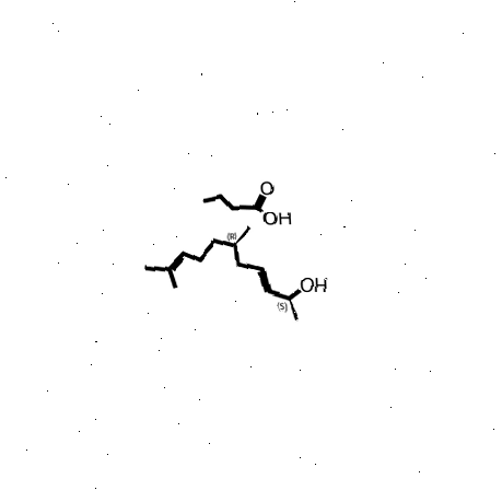 CC(C)=CCC[C@@H](C)CC=C[C@H](C)O.CCCC(=O)O